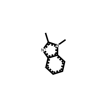 Cc1nc2[c]cccc2n1C